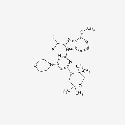 COc1cccc2c1nc(C(F)F)n2-c1nc(N2CCOCC2)cc(N2CC(C)(C)OCC2(C)C)n1